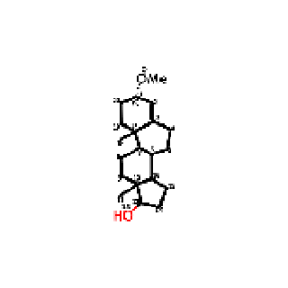 CO[C@@H]1C=C2CCC3C(CCC4(C)C(O)CCC34)C2(C)CC1